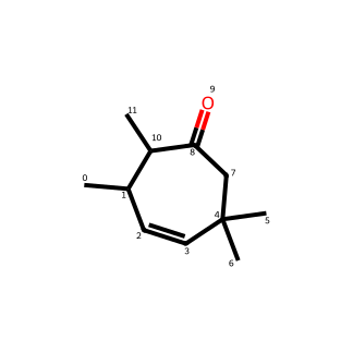 CC1C=CC(C)(C)CC(=O)C1C